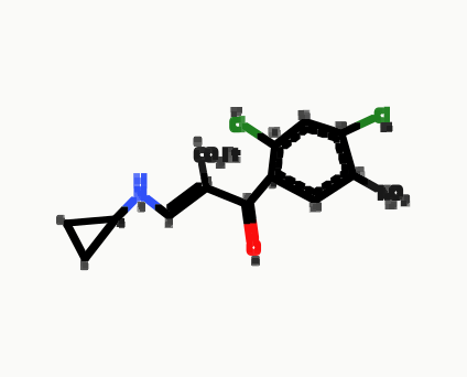 CCOC(=O)/C(=C\NC1CC1)C(=O)c1cc([N+](=O)[O-])c(Cl)cc1Cl